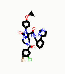 O=C(NCc1ccccc1-c1ccncn1)c1c2n(c(=O)n1-c1ccc(OC3CC3)cc1)CCN(C(=O)c1ccc(Br)c(Cl)c1)C2